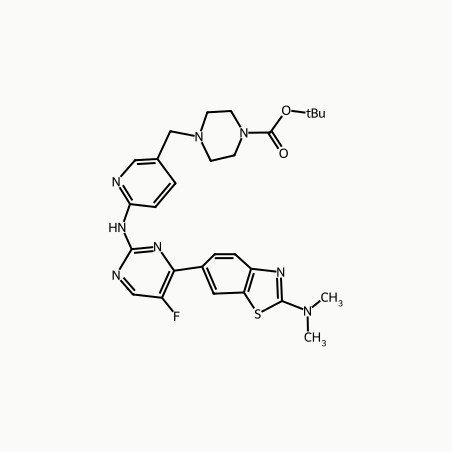 CN(C)c1nc2ccc(-c3nc(Nc4ccc(CN5CCN(C(=O)OC(C)(C)C)CC5)cn4)ncc3F)cc2s1